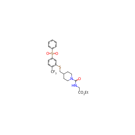 CCOC(=O)CNC(=O)N1CCC(CSc2cc(S(=O)(=O)c3ccccc3)ccc2C(F)(F)F)CC1